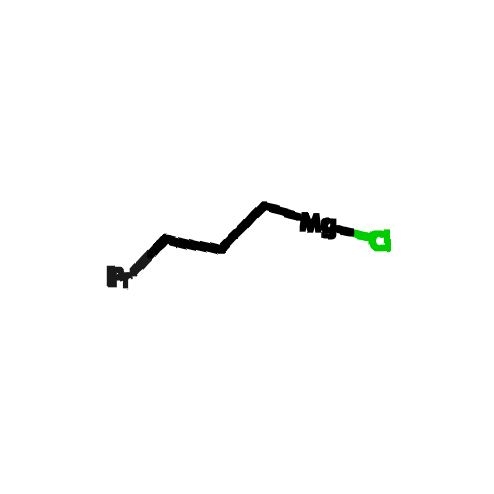 CC(C)CC[CH2][Mg][Cl]